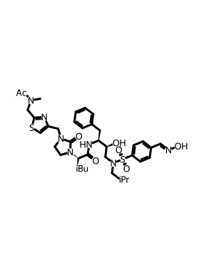 CC[C@H](C)[C@@H](C(=O)N[C@@H](Cc1ccccc1)[C@@H](O)CN(CC(C)C)S(=O)(=O)c1ccc(C=NO)cc1)N1CCN(Cc2csc(CN(C)C(C)=O)n2)C1=O